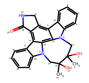 CC1(O)Cn2c3ccccc3c3c4c(c5c6ccccc6n(c5c32)CC1(C)O)C(=O)NC4